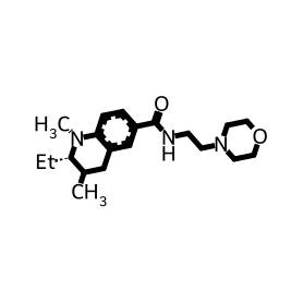 CC[C@H]1C(C)Cc2cc(C(=O)NCCN3CCOCC3)ccc2N1C